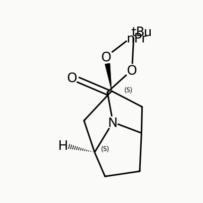 CCCO[C@H]1CC2CC[C@@H](C1)N2C(=O)OC(C)(C)C